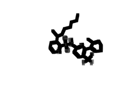 CCCCCCC(C)c1cccnc1S(=O)(=O)Nc1ccc(C(F)(F)F)c(-c2ccccc2C)n1